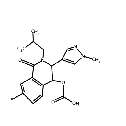 CC(C)CN1C(=O)c2cc(F)ccc2C(OC(=O)O)C1c1cnn(C)c1